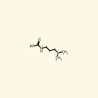 CC(C)C(=O)NCCCN(C)C